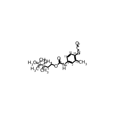 Cc1cc(NC(=O)OCC[Si](C)(C)[Si](C)(C)C)ccc1N=C=O